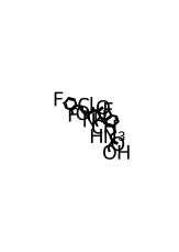 Cc1nc(OCc2ccc(F)cc2F)c(Cl)c(=O)n1-c1cc(CNC(=O)CO)ccc1F